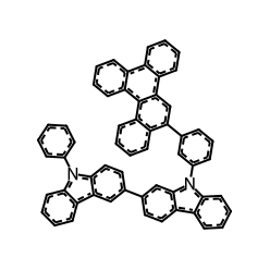 c1ccc(-n2c3ccccc3c3cc(-c4ccc5c6ccccc6n(-c6cccc(-c7cc8c9ccccc9c9ccccc9c8c8ccccc78)c6)c5c4)ccc32)cc1